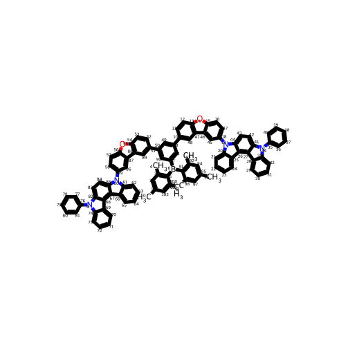 Cc1cc(C)c(B(c2cc(-c3ccc4oc5ccc(-n6c7ccccc7c7c8c9ccccc9n(-c9ccccc9)c8ccc76)cc5c4c3)cc(-c3ccc4oc5ccc(-n6c7ccccc7c7c8c9ccccc9n(-c9ccccc9)c8ccc76)cc5c4c3)c2)c2c(C)cc(C)cc2C)c(C)c1